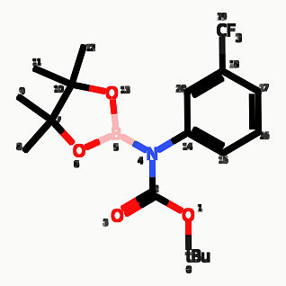 CC(C)(C)OC(=O)N(B1OC(C)(C)C(C)(C)O1)c1cccc(C(F)(F)F)c1